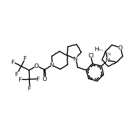 O=C(OC(C(F)(F)F)C(F)(F)F)N1CCC2(CCCN2Cc2cccc(N3C4CC[C@H]3COC4)c2Cl)CC1